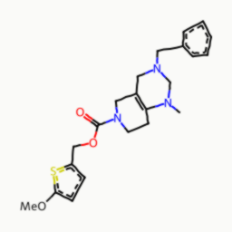 COc1ccc(COC(=O)N2CCC3=C(CN(Cc4ccccc4)CN3C)C2)s1